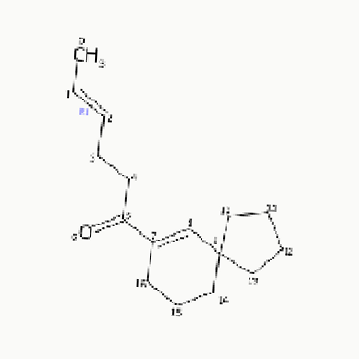 C/C=C/CCC(=O)C1=CC2(CCCC2)CCC1